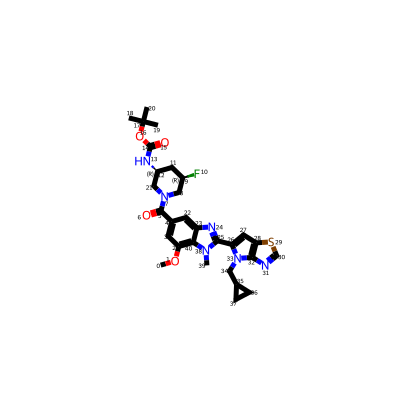 COc1cc(C(=O)N2C[C@H](F)C[C@@H](NC(=O)OC(C)(C)C)C2)cc2nc(-c3cc4scnc4n3CC3CC3)n(C)c12